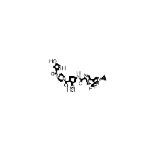 Cl.Cn1c(-c2cn(C3CC3)nc2C(F)(F)F)cnc1C(=O)Nc1ccc(C(=O)N2CCN(C(=O)[C@H]3C[C@H](O)CN3)CC2)c(Cl)c1